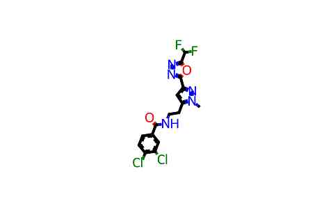 Cn1nc(-c2nnc(C(F)F)o2)cc1CCNC(=O)c1ccc(Cl)c(Cl)c1